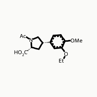 CCOc1cc([C@@H]2C[C@H](C(=O)O)N(C(C)=O)C2)ccc1OC